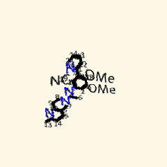 COc1cc(N=C(C)N2CCc3nc(C)ccc3C2)c(C#N)c(-c2ccccn2)c1OC